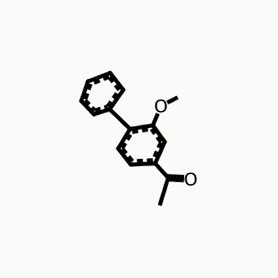 COc1cc(C(C)=O)ccc1-c1ccccc1